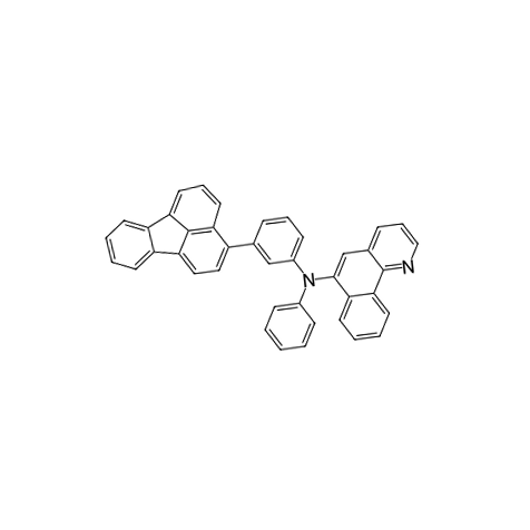 c1ccc(N(c2cccc(-c3ccc4c5c(cccc35)-c3ccccc3-4)c2)c2cc3cccnc3c3ccccc23)cc1